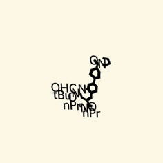 CCCN(CCC)C(=O)C1=Cc2ccc(-c3ccc(C(=O)N4CCCC4)cc3)cc2N=C(N(C=O)OC(C)(C)C)C1